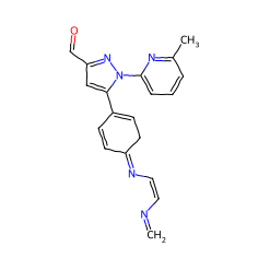 C=N/C=C\N=C1\C=CC(c2cc(C=O)nn2-c2cccc(C)n2)=CC1